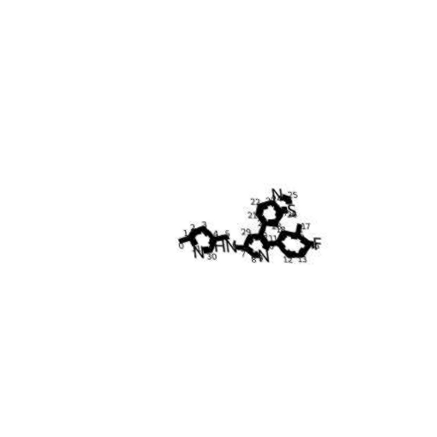 Cc1ccc(CNc2cnc(-c3ccc(F)c(C)c3)c(-c3ccc4ncsc4c3)c2)cn1